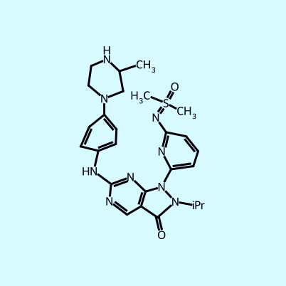 CC1CN(c2ccc(Nc3ncc4c(=O)n(C(C)C)n(-c5cccc(N=S(C)(C)=O)n5)c4n3)cc2)CCN1